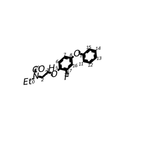 CCN(CCOc1ccc(Oc2ccccc2)cc1F)C(=O)O